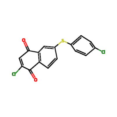 O=C1C=C(Cl)C(=O)c2ccc(Sc3ccc(Cl)cc3)cc21